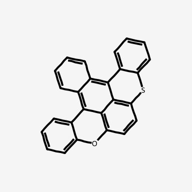 c1ccc2c(c1)Oc1ccc3c4c(c5ccccc5c-2c14)-c1ccccc1S3